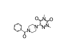 Cn1nc(N2CCN(C(=O)c3ccccc3)CC2)c(=O)n(C)c1=O